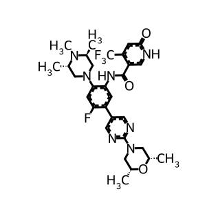 C[C@@H]1CN(c2ncc(-c3cc(NC(=O)c4c[nH]c(=O)cc4C(F)(F)F)c(N4C[C@H](C)N(C)[C@@H](C)C4)cc3F)cn2)C[C@H](C)O1